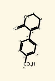 O=C1OCCC=C1c1ccc(C(=O)O)cc1